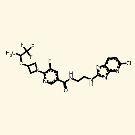 CC(OC1CN(c2ncc(C(=O)NCCNc3nc4nc(Cl)ccc4o3)cc2F)C1)C(F)(F)F